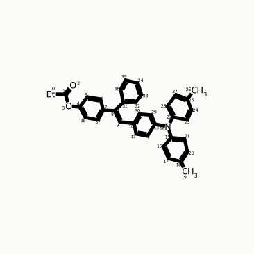 CCC(=O)Oc1ccc(C(=Cc2ccc(N(c3ccc(C)cc3)c3ccc(C)cc3)cc2)c2ccccc2)cc1